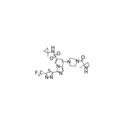 CC1(NS(=O)(=O)c2cc(N3CCN(C(=O)C4(C)CCN4)CC3)c3cnc(-c4nnc(C(F)(F)F)s4)n3c2)CC1